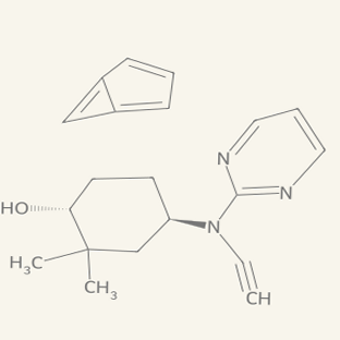 C#CN(c1ncccn1)[C@@H]1CC[C@@H](O)C(C)(C)C1.c1cc2cc-2c1